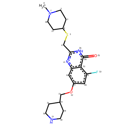 CN1CCC(SCc2nc3cc(OCC4CCNCC4)cc(F)c3c(=O)[nH]2)CC1